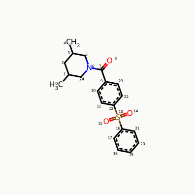 CC1CC(C)CN(C(=O)c2ccc(S(=O)(=O)c3ccccc3)cc2)C1